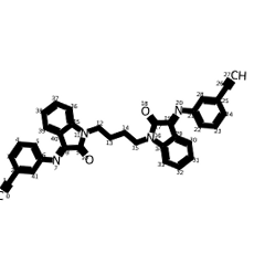 C#Cc1cccc(/N=C2/C(=O)N(CCCCN3C(=O)/C(=N/c4cccc(C#C)c4)c4ccccc43)c3ccccc32)c1